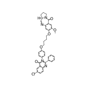 COc1cc2c(cc1OCCCCOc1ccc(-n3c(-c4ccccc4)nc4ccc(Cl)cc4c3=O)cc1)N=C[C@@H]1CCCN1C2=O